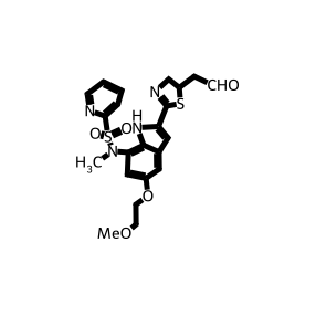 COCCOc1cc(N(C)S(=O)(=O)c2ccccn2)c2[nH]c(C3=NCC(CC=O)S3)cc2c1